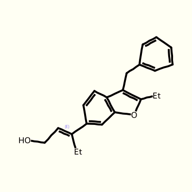 CC/C(=C\CO)c1ccc2c(Cc3ccccc3)c(CC)oc2c1